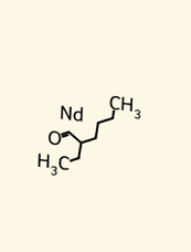 CCCCC(C=O)CC.[Nd]